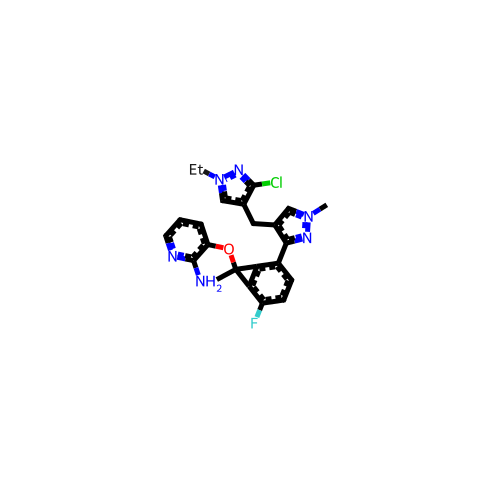 CCn1cc(Cc2cn(C)nc2-c2ccc(F)c3c2C3(C)Oc2cccnc2N)c(Cl)n1